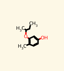 CCC(C)Oc1cc(O)ccc1C